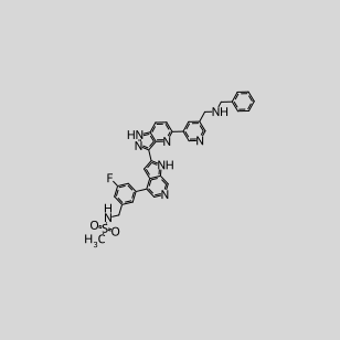 CS(=O)(=O)NCc1cc(F)cc(-c2cncc3[nH]c(-c4n[nH]c5ccc(-c6cncc(CNCc7ccccc7)c6)nc45)cc23)c1